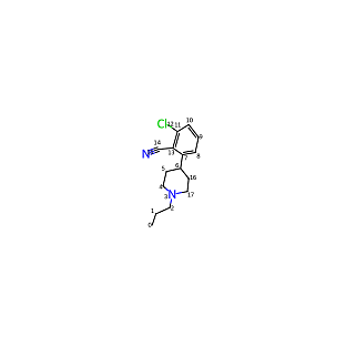 CCCN1CCC(c2cccc(Cl)c2C#N)CC1